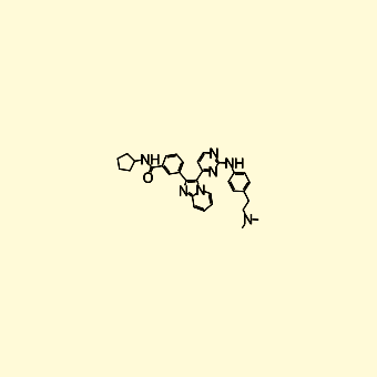 CN(C)CCc1ccc(Nc2nccc(-c3c(-c4cccc(C(=O)NC5CCCC5)c4)nc4ccccn34)n2)cc1